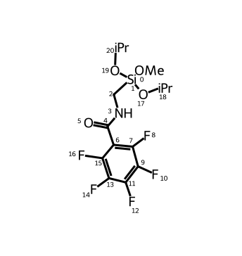 CO[Si](CNC(=O)c1c(F)c(F)c(F)c(F)c1F)(OC(C)C)OC(C)C